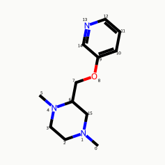 CN1CCN(C)C(COc2cccnc2)C1